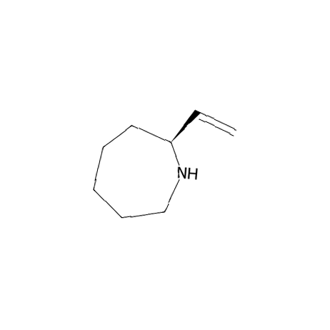 C=C[C@@H]1CCCCCN1